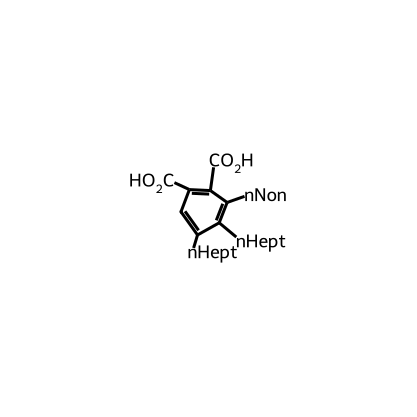 CCCCCCCCCc1c(CCCCCCC)c(CCCCCCC)cc(C(=O)O)c1C(=O)O